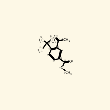 C=C(C)c1cc(C(=O)OC)ccc1C(C)(C)C